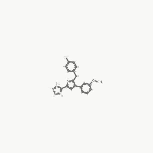 COc1cccc(-c2cc(-c3nnn[nH]3)sc2Cc2ccc(Cl)cc2)c1